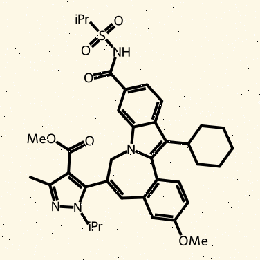 COC(=O)c1c(C)nn(C(C)C)c1C1=Cc2cc(OC)ccc2-c2c(C3CCCCC3)c3ccc(C(=O)NS(=O)(=O)C(C)C)cc3n2C1